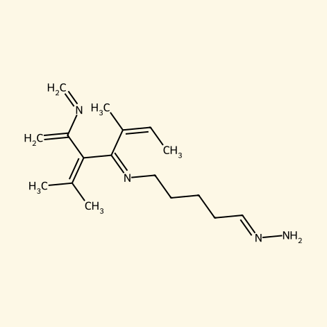 C=NC(=C)C(=C(C)C)C(=N/CCCC/C=N/N)/C(C)=C\C